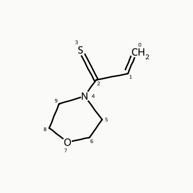 C=CC(=S)N1CCOCC1